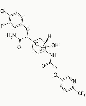 NC(=O)C(Oc1ccc(Cl)c(F)c1)C12CCC(NC(=O)COc3ccc(C(F)(F)F)nc3)(CC1)[C@@H](O)C2